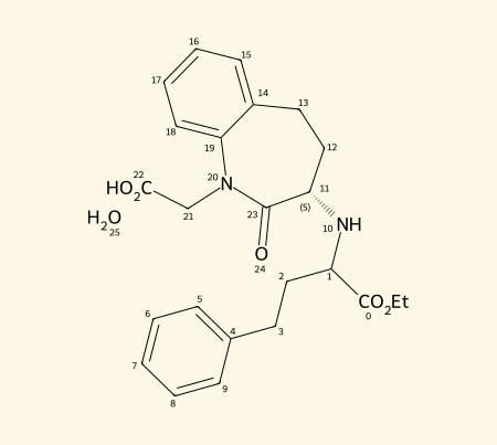 CCOC(=O)C(CCc1ccccc1)N[C@H]1CCc2ccccc2N(CC(=O)O)C1=O.O